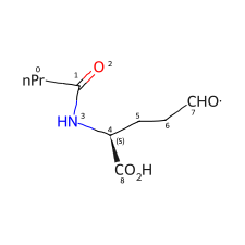 CCCC(=O)N[C@@H](CC[C]=O)C(=O)O